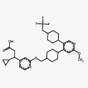 COc1cc(N2CCC(COc3cc(C(CC(=O)O)C4CC4)ccn3)CC2)c(C2CCN(CC(F)(F)F)CC2)cn1